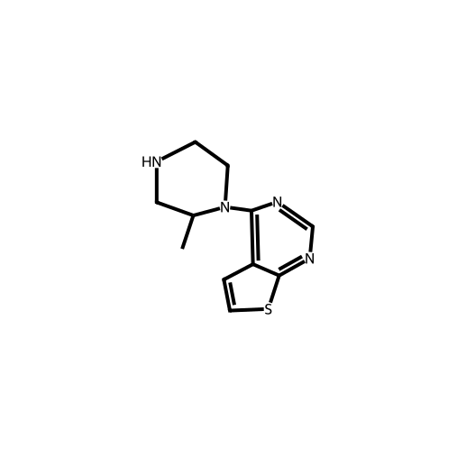 CC1CNCCN1c1ncnc2sccc12